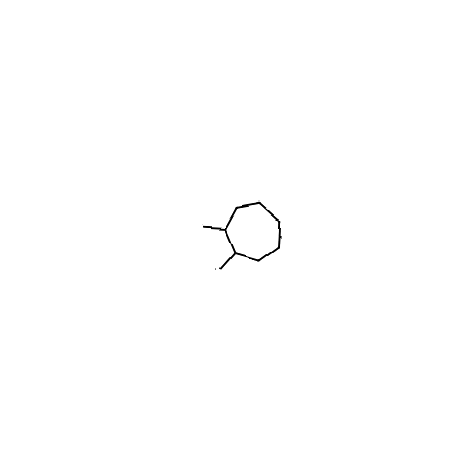 [CH2]C1CCCCCC1C